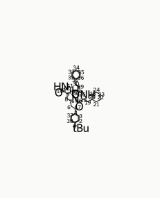 CC(C)(C)c1ccc(CC[C@@H](C[C@@H]2CCNC2=O)NC(=O)[C@H](CC2CCCCC2)NC(=O)C=Cc2ccccc2)cc1